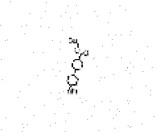 CCCC1CCC(C2CCC(C(=O)OCC(C)CC)CC2)CC1